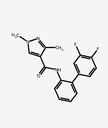 Cc1nn(C)cc1C(=O)Nc1ccccc1-c1ccc(F)c(F)c1